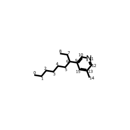 CCCCCCC(CC)c1cncc(C)c1